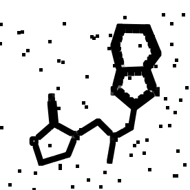 CN(Cc1nc2ccccc2s1)CN1CCOC1=S